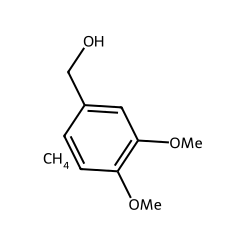 C.COc1ccc(CO)cc1OC